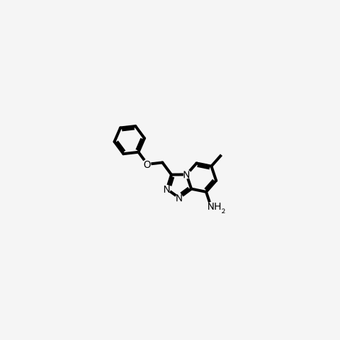 Cc1cc(N)c2nnc(COc3ccccc3)n2c1